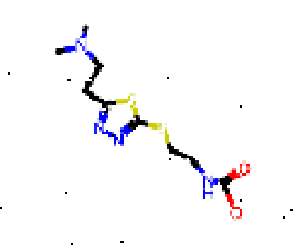 CN(C)CCc1nnc(SCCNC([O])=O)s1